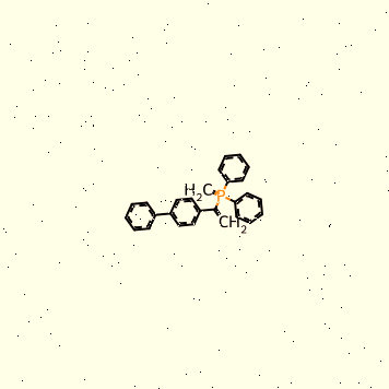 C=C(c1ccc(-c2ccccc2)cc1)P(=C)(c1ccccc1)c1ccccc1